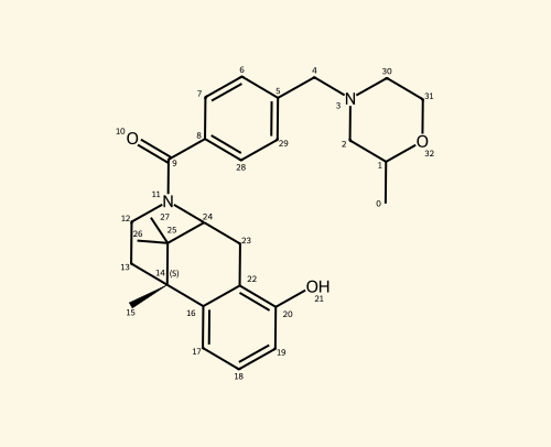 CC1CN(Cc2ccc(C(=O)N3CC[C@@]4(C)c5cccc(O)c5CC3C4(C)C)cc2)CCO1